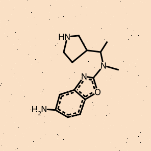 CC(C1CCNC1)N(C)c1nc2cc(N)ccc2o1